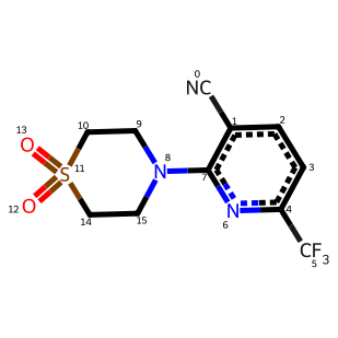 N#Cc1ccc(C(F)(F)F)nc1N1CCS(=O)(=O)CC1